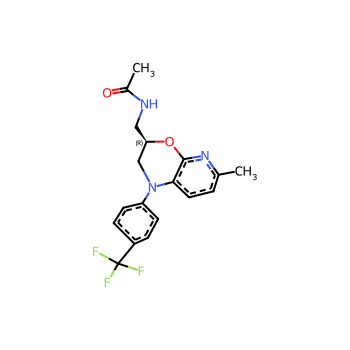 CC(=O)NC[C@@H]1CN(c2ccc(C(F)(F)F)cc2)c2ccc(C)nc2O1